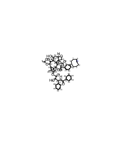 C1=C/CCCCCC/1.CC(=O)O[C@H]1C(=O)[C@@]2(C)[C@H]([C@H](OC(=O)c3ccccc3)[C@]3(O)C[C@H](OC(=O)[C@H](O)[C@@H](NC(=O)c4ccccc4)c4ccccc4)C(C)=C1C3(C)C)[C@]1(OC(C)=O)CO[C@@H]1C[C@@H]2O